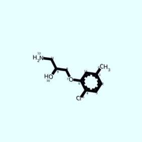 Cc1ccc(Cl)c(OCC(O)CN)c1